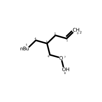 C=CCC(CCCCC)COO